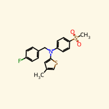 Cc1csc(N(Cc2ccc(F)cc2)c2ccc(S(C)(=O)=O)cc2)c1